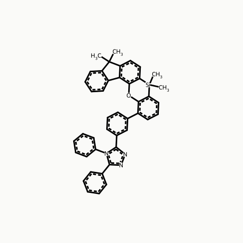 CC1(C)c2ccccc2-c2c1ccc1c2Oc2c(-c3cccc(-c4nnc(-c5ccccc5)n4-c4ccccc4)c3)cccc2[Si]1(C)C